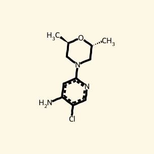 C[C@@H]1CN(c2cc(N)c(Cl)cn2)C[C@@H](C)O1